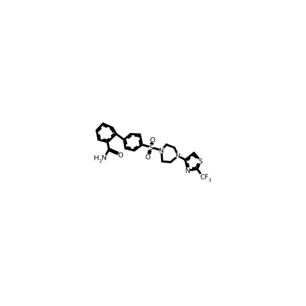 NC(=O)c1ccccc1-c1ccc(S(=O)(=O)N2CCN(c3csc(C(F)(F)F)n3)CC2)cc1